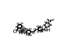 CN(C)C1CCC(Nc2ncc(/C=C/c3ccc(NS(=O)(=O)c4ccccc4Cl)nc3)cn2)CC1